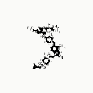 BC(B)(B)Nc1nc(NC2CCN(Cc3ccc4c(cc(C#N)n4C[C@H](C)N4CCN(S(=O)(=O)CC5CC5)CC4)c3C)CC2)c2cc(CC(F)(F)F)sc2n1